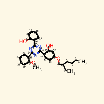 CCCCC(CC)COc1ccc(-c2nc(-c3ccccc3O)nc(-c3ccccc3OC)n2)c(O)c1